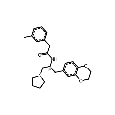 Cc1cccc(CC(=O)N[C@@H](Cc2ccc3c(c2)OCCO3)CN2CCCC2)c1